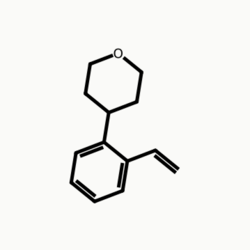 C=Cc1ccccc1C1CCOCC1